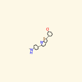 CNc1ccc(-c2ccc3cc(-c4cccc(OC)c4)sc3n2)cc1